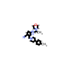 Cc1ccc(C2CCN(Cc3cc(NCC(C)N4CCOCC4)ccc3C#N)CC2)cc1